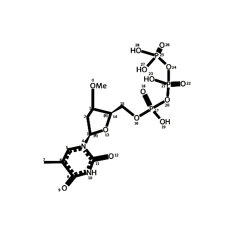 COC1C[C@H](n2cc(C)c(=O)[nH]c2=O)O[C@@H]1COP(=O)(O)OP(=O)(O)OP(=O)(O)O